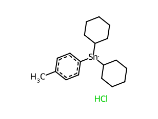 Cc1cc[c]([Sn]([CH]2CCCCC2)[CH]2CCCCC2)cc1.Cl